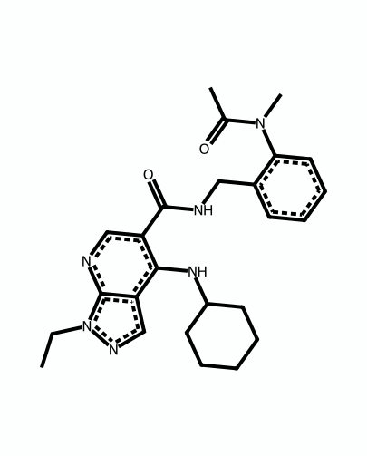 CCn1ncc2c(NC3CCCCC3)c(C(=O)NCc3ccccc3N(C)C(C)=O)cnc21